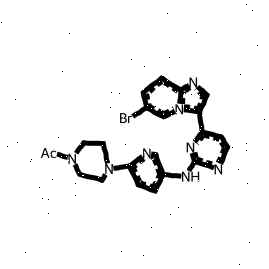 CC(=O)N1CCN(c2ccc(Nc3nccc(-c4cnc5ccc(Br)cn45)n3)cn2)CC1